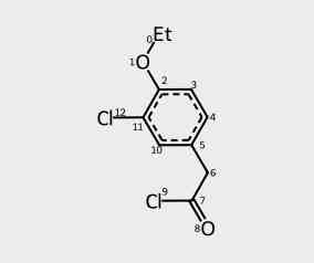 CCOc1ccc(CC(=O)Cl)cc1Cl